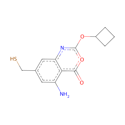 Nc1cc(CS)cc2nc(OC3CCC3)oc(=O)c12